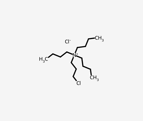 CCCC[N+](CCCC)(CCCC)CCCCl.[Cl-]